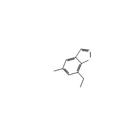 CCc1cc(Cl)cc2cnoc12